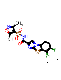 Cc1noc(C)c1S(=O)(=O)NC(=O)c1cn2c3c(sc2n1)C(Cl)=C(F)CC3